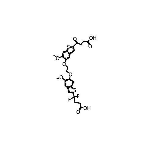 COc1cc2sc(C(=O)CCC(=O)O)cc2cc1OCCOc1cc2sc(C(F)(F)CCC(=O)O)cc2cc1OC